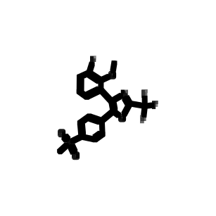 COc1c(F)cccc1-c1nc(C(F)(F)F)oc1-c1ccc(S(C)(=O)=O)cc1